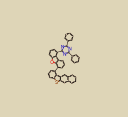 c1ccc(-c2nc(-c3ccccc3)nc(-c3cccc4oc5c(-c6cccc7sc8cc9ccccc9cc8c67)cccc5c34)n2)cc1